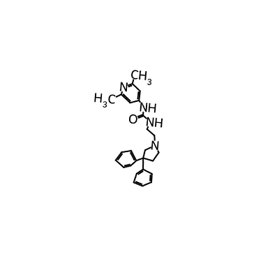 Cc1cc(NC(=O)NCCN2CCC(c3ccccc3)(c3ccccc3)C2)cc(C)n1